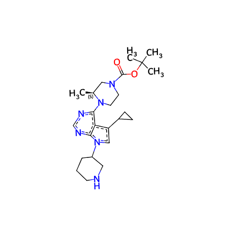 C[C@H]1CN(C(=O)OC(C)(C)C)CCN1c1ncnc2c1c(C1CC1)cn2C1CCCNC1